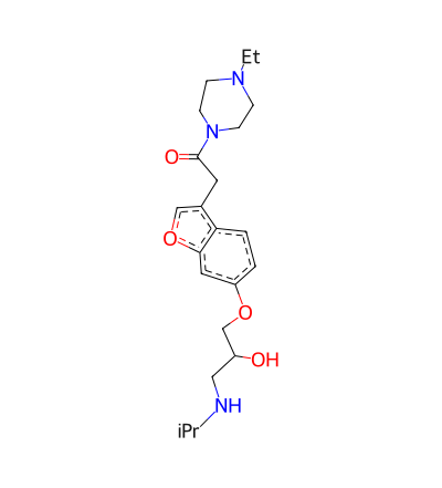 CCN1CCN(C(=O)Cc2coc3cc(OCC(O)CNC(C)C)ccc23)CC1